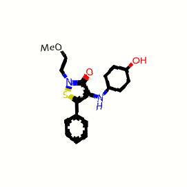 COCCn1sc(-c2ccccc2)c(NC2CCC(O)CC2)c1=O